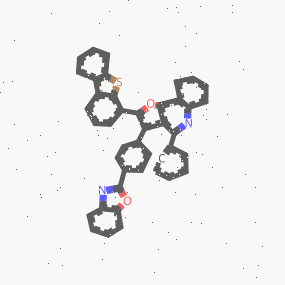 c1ccc(-c2nc3ccccc3c3oc(-c4cccc5c4sc4ccccc45)c(-c4ccc(-c5nc6ccccc6o5)cc4)c23)cc1